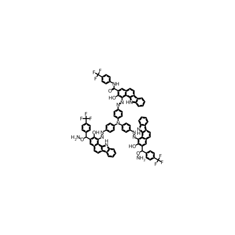 NOC(c1ccc(C(F)(F)F)cc1)c1cc2ccc3c4ccccc4[nH]c3c2c(N=Nc2ccc(N(c3ccc(N=Nc4c(O)c(C(=O)Nc5ccc(C(F)(F)F)cc5)cc5ccc6c7ccccc7[nH]c6c45)cc3)c3ccc(N=Nc4c(O)c(C(ON)c5ccc(C(F)(F)F)cc5)cc5ccc6c7ccccc7[nH]c6c45)cc3)cc2)c1O